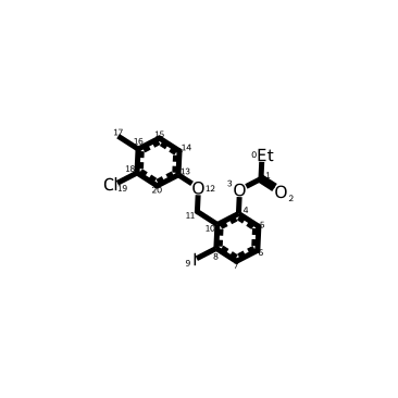 CCC(=O)Oc1cccc(I)c1COc1ccc(C)c(Cl)c1